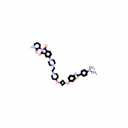 CN(C)c1ccc(-c2nc3ccc(O[C@H]4C[C@H](OC5CCN(CCN6CCN(c7ccc8c(c7)C(=O)N(C7CCCNC7=O)C8=O)CC6)CC5)C4)cc3s2)cc1